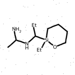 CCC(NC(C)N)[Si]1(CC)CCCCO1